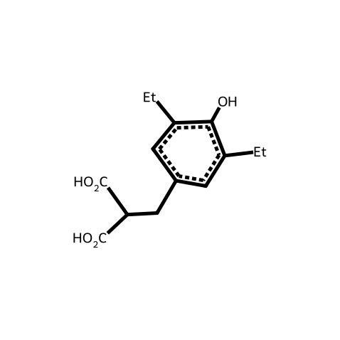 CCc1cc(CC(C(=O)O)C(=O)O)cc(CC)c1O